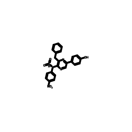 O=[N+]([O-])c1ccc(N(c2ncc(-c3ccc(O)cc3)nc2Cc2ccccc2)[SH](=O)=O)cc1